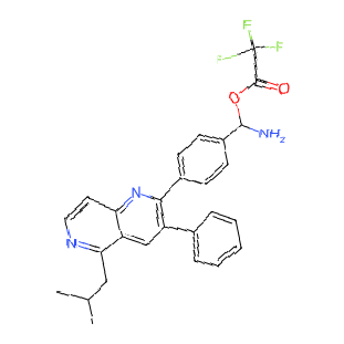 CC(C)Cc1nccc2nc(-c3ccc(C(N)OC(=O)C(F)(F)F)cc3)c(-c3ccccc3)cc12